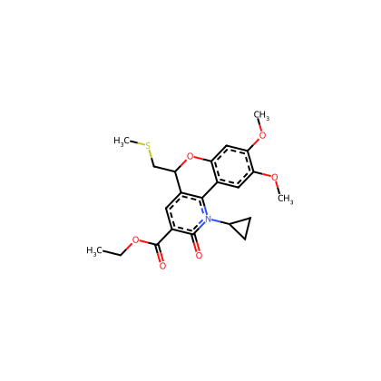 CCOC(=O)c1cc2c(n(C3CC3)c1=O)-c1cc(OC)c(OC)cc1OC2CSC